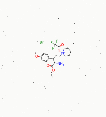 CCOC(=O)C(N)C(CC[N+]1(OC(=O)C(F)(F)F)CCCCC1)c1ccc(OC)cc1.[Br-]